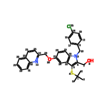 CC(C)(C)Sc1c(CO)n(Cc2ccc(Cl)cc2)c2ccc(OCc3ccc4ccccc4n3)cc12